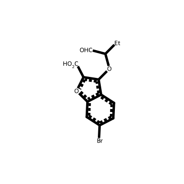 CCC(C=O)Oc1c(C(=O)O)oc2cc(Br)ccc12